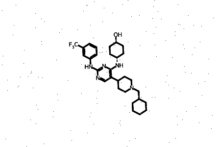 O[C@H]1CC[C@H](Nc2nc(Nc3cccc(C(F)(F)F)c3)ncc2C2CCN(CC3CCCCC3)CC2)CC1